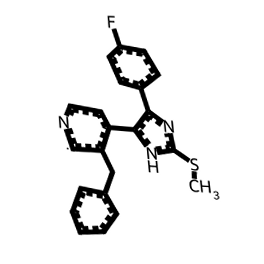 CSc1nc(-c2ccc(F)cc2)c(-c2ccn[c]c2Cc2ccccc2)[nH]1